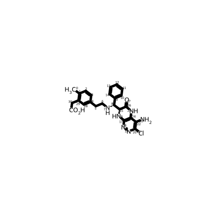 Cc1ccc(CCN[C@H](c2ccccc2)[C@@H]2Nc3nnc(Cl)c(N)c3NC2=O)cc1CC(=O)O